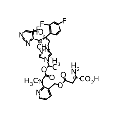 CC(OC(=O)N(C)c1ncccc1COC(=O)C[C@H](N)C(=O)O)[n+]1cnn(C[C@](O)(c2ccc(F)cc2F)[C@@H](C)c2ncncc2F)c1